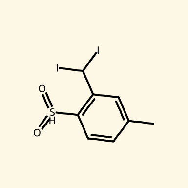 Cc1ccc([SH](=O)=O)c(C(I)I)c1